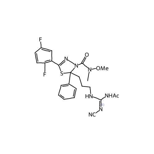 CON(C)C(=O)N1N=C(c2cc(F)ccc2F)SC1(CCCN/C(=N\C#N)NC(C)=O)c1ccccc1